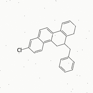 Clc1ccc2c3c(ccc2c1)C1=C(CCC=C1)C(Cc1ccccc1)C3